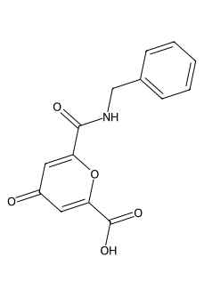 O=C(O)c1cc(=O)cc(C(=O)NCc2ccccc2)o1